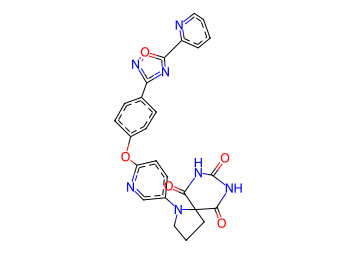 O=C1NC(=O)C2(CCCN2c2ccc(Oc3ccc(-c4noc(-c5ccccn5)n4)cc3)nc2)C(=O)N1